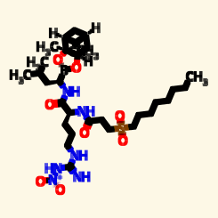 CCCCCCCCS(=O)(=O)CCC(=O)N[C@@H](CCCNC(=N)N[N+](=O)[O-])C(=O)N[C@@H](CC(C)C)B1O[C@@H]2C[C@@H]3C[C@@H](C3(C)C)[C@]2(C)O1